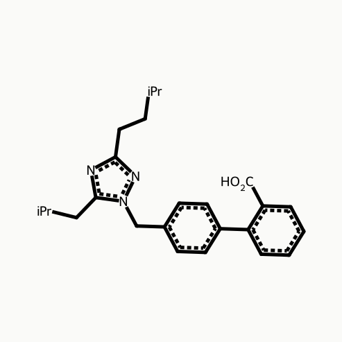 CC(C)CCc1nc(CC(C)C)n(Cc2ccc(-c3ccccc3C(=O)O)cc2)n1